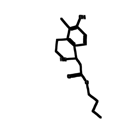 CCCCOC(=O)CC1NCCc2c1ccc(O)c2C